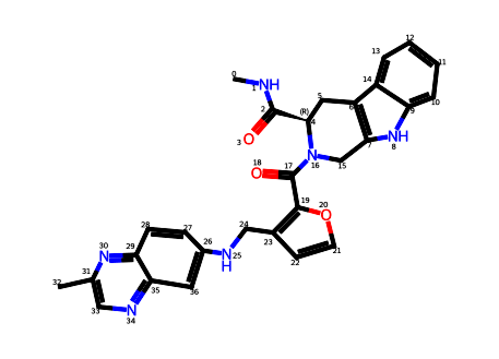 CNC(=O)[C@H]1Cc2c([nH]c3ccccc23)CN1C(=O)c1occc1CNc1ccc2nc(C)cnc2c1